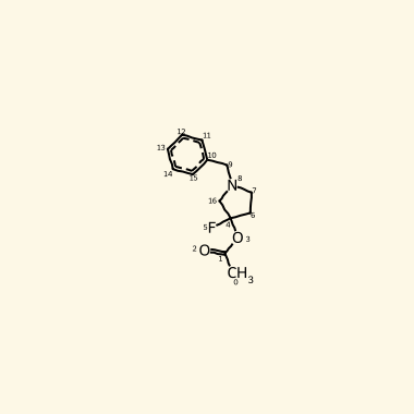 CC(=O)OC1(F)CCN(Cc2ccccc2)C1